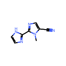 Cn1c(C#N)cnc1-c1ncc[nH]1